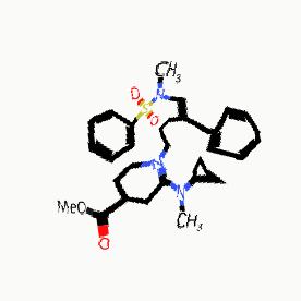 COC(=O)C1CCN(CCC(CN(C)S(=O)(=O)c2ccccc2)c2ccccc2)C(N(C)C2CC2)C1